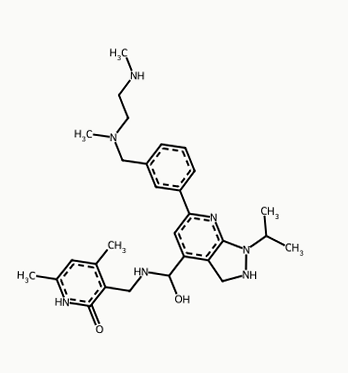 CNCCN(C)Cc1cccc(-c2cc(C(O)NCc3c(C)cc(C)[nH]c3=O)c3c(n2)N(C(C)C)NC3)c1